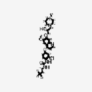 COc1cc2c(Oc3ccc(NC(=O)NCCC(C)(C)C)c(Cl)c3)ccnc2cc1OCC(O)CN1CCCN(C)CC1